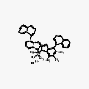 CC1=Cc2c(-c3cccc4ccccc34)c(C)c(C)c(C)c2[CH]1[Zr]([CH3])([CH3])(=[SiH2])[CH]1C(C(C)C)=Cc2c(-c3cccc4ccccc34)cccc21.Cl.Cl